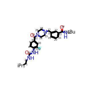 CC(C)CCNC(=O)Nc1ccc(C(=O)N2CCN(Cc3cccc(C(=O)NC(C)(C)C)c3)CC2)cc1F